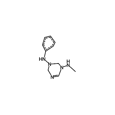 CNN1C=NCN(Nc2ccccc2)C1